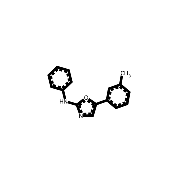 Cc1cccc(-c2cnc(Nc3ccccc3)o2)c1